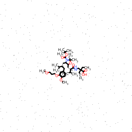 CCC(CC)(CNC(=O)[C@@H](CC1OC(C)(C)N(C(=O)OC(C)(C)C)C1C[C@H](Cc1ccc(OC)c(OCCCOC)c1)C(C)C)C(C)C)C(=O)O